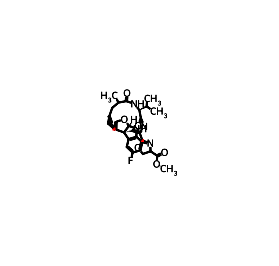 COC(=O)C1COC(c2nc3oc2[C@@]24c5cc(F)ccc5N[C@@H]2Oc2ccc(cc24)CC(C)C(=O)N[C@H]3C(C)C)=N1